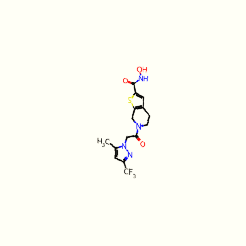 Cc1cc(C(F)(F)F)nn1CC(=O)N1CCc2cc(C(=O)NO)sc2C1